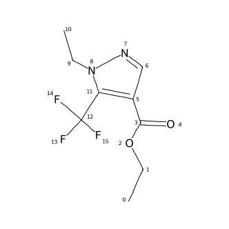 CCOC(=O)c1cnn(CC)c1C(F)(F)F